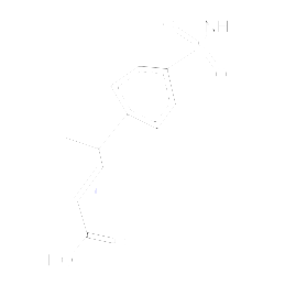 CC(/C=C/C(=O)O)c1ccc(S(N)(=O)=O)cc1